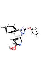 [CH2]c1ccc(-c2nc(OC3CCCC3)nn2-c2ccc(OC)nc2)cc1